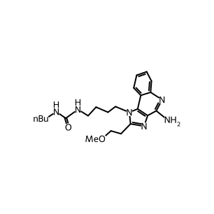 CCCCNC(=O)NCCCCn1c(CCOC)nc2c(N)nc3ccccc3c21